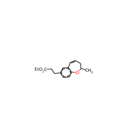 CCOC(=O)CCc1ccc2c(c1)C=CCC(C)O2